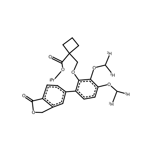 [2H]C([2H])Oc1ccc(-c2ccc3c(c2)COC3=O)c(OCC2(C(=O)OC(C)C)CCC2)c1OC([2H])[2H]